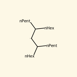 CCCCCCC([CH]C(CCCCC)CCCCCC)CCCCC